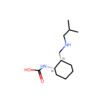 CC(C)CNC[C@@H]1CCCC[C@@H]1NC(=O)O